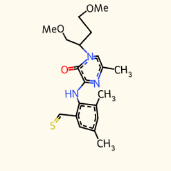 COCCC(COC)n1cc(C)nc(Nc2c(C)cc(C)cc2C=S)c1=O